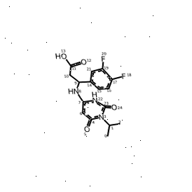 CC(C)n1c(=O)cc(NC(CC(=O)O)c2ccc(F)c(F)c2)[nH]c1=O